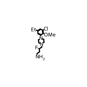 CCc1cc(Cl)c(OC)c(N2CCN(C[C@H](F)CCN)CC2)c1